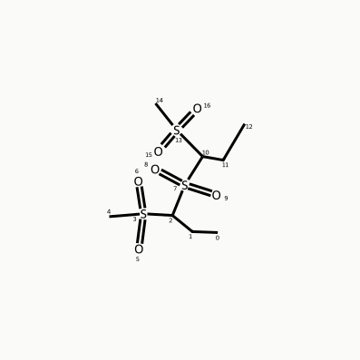 CCC(S(C)(=O)=O)S(=O)(=O)C(CC)S(C)(=O)=O